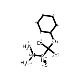 CCC(CC)(OC1CCCCC1)[PH](=S)N(C)N